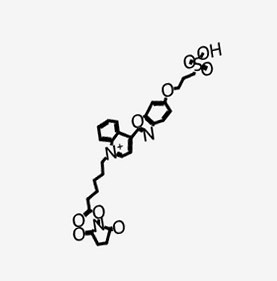 O=C(CCCCC[n+]1ccc(-c2nc3ccc(OCCCS(=O)(=O)O)cc3o2)c2ccccc21)ON1C(=O)CCC1=O